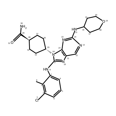 Cc1c(Cl)cccc1Nc1nc2cnc(NC3CCOCC3)nc2n1[C@H]1CC[C@H](C(N)=O)CC1